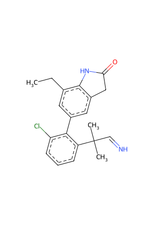 CCc1cc(-c2c(Cl)cccc2C(C)(C)C=N)cc2c1NC(=O)C2